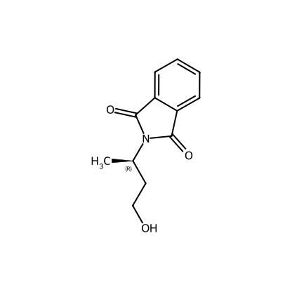 C[C@H](CCO)N1C(=O)c2ccccc2C1=O